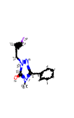 CCn1c(-c2ccccc2)nn(CC#CI)c1=O